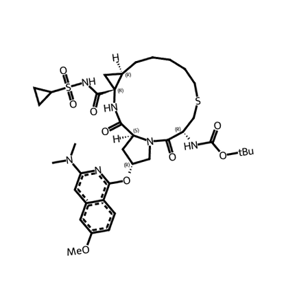 COc1ccc2c(O[C@@H]3C[C@H]4C(=O)N[C@]5(C(=O)NS(=O)(=O)C6CC6)C[C@H]5CCCCCSC[C@H](NC(=O)OC(C)(C)C)C(=O)N4C3)nc(N(C)C)cc2c1